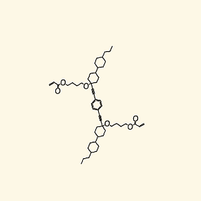 C=CC(=O)OCCCCOC1(C#Cc2ccc(C#CC3(OCCCCOC(=O)C=C)CCC(C4CCC(CCC)CC4)CC3)cc2)CCC(C2CCC(CCC)CC2)CC1